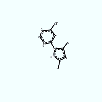 Cc1cc(C)n(-c2cc(Cl)ncn2)n1